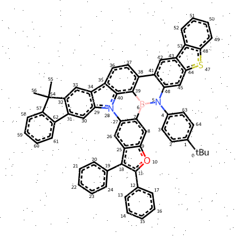 CC(C)(C)c1ccc(N2B3c4cc5oc(-c6ccccc6)c(-c6ccccc6)c5cc4-n4c5cc6c(cc5c5ccc(c3c54)-c3cc4c(cc32)sc2ccccc24)C(C)(C)c2ccccc2-6)cc1